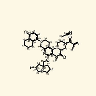 C=C(F)C(=O)N1CC2C(=O)N(C)c3c(OCC45CCCN4C[C@H](F)C5)nc4c(c3N2C[C@@H]1CC#N)CCN(c1ccc(F)c2c1CCCC2)C4